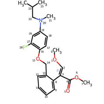 CO/C=C(/C(=O)OC)c1ccccc1COc1ccc(N(C)CC(C)C)cc1F